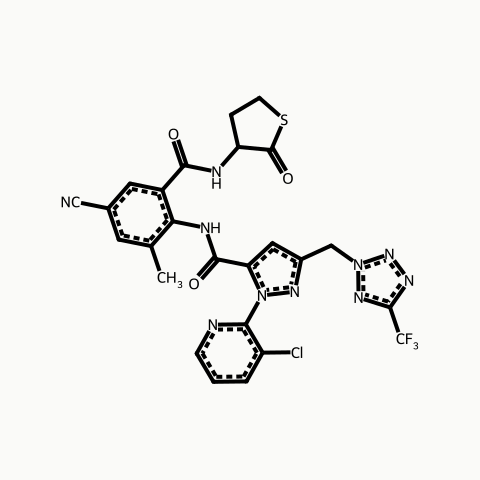 Cc1cc(C#N)cc(C(=O)NC2CCSC2=O)c1NC(=O)c1cc(Cn2nnc(C(F)(F)F)n2)nn1-c1ncccc1Cl